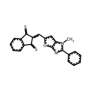 Cn1c(-c2ccccc2)nc2oc(C=C3C(=S)c4ccccc4C3=S)cc21